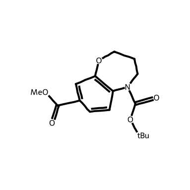 COC(=O)c1ccc2c(c1)OCCCN2C(=O)OC(C)(C)C